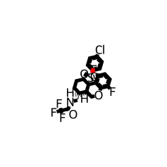 O=C(NC[C@@H]1CCCC2(S(=O)(=O)c3ccc(Cl)cc3)c3c(F)ccc(F)c3OC[C@@H]12)C(F)(F)F